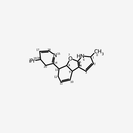 CC1C=CC2=C(N1)OC1C2C=CCC1C1=NC=CC(C(C)C)C1